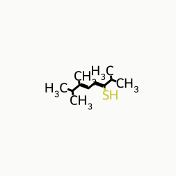 C/C(=C\C=C(/S)C(C)C)C(C)C